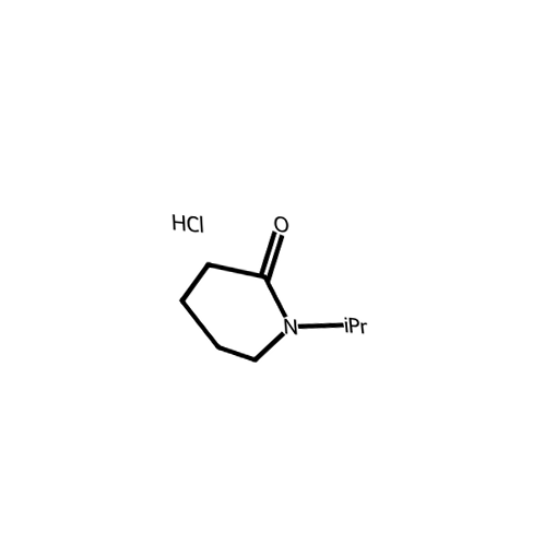 CC(C)N1CCCCC1=O.Cl